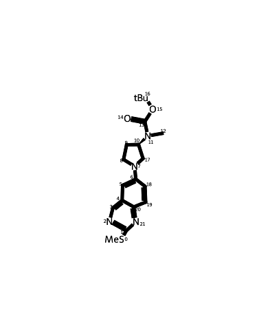 CSc1ncc2cc(N3CC[C@@H](N(C)C(=O)OC(C)(C)C)C3)ccc2n1